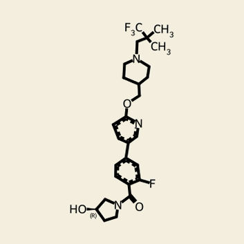 CC(C)(CN1CCC(COc2ccc(-c3ccc(C(=O)N4CC[C@@H](O)C4)c(F)c3)cn2)CC1)C(F)(F)F